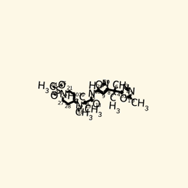 Cc1nnc(C(C)(C)c2cc(NC(=O)C(C)(C)N(C)C3CCN(S(C)(=O)=O)CC3)on2)o1